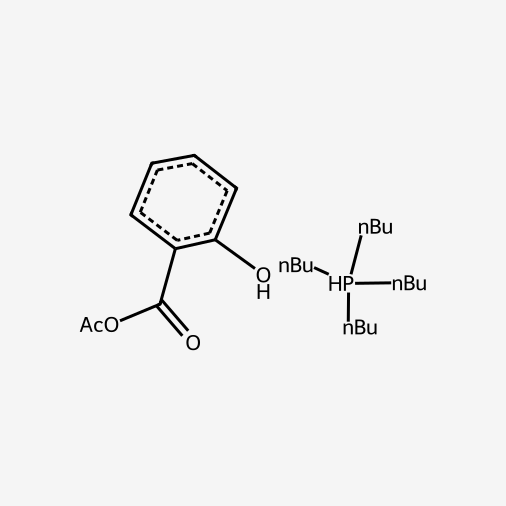 CC(=O)OC(=O)c1ccccc1O.CCCC[PH](CCCC)(CCCC)CCCC